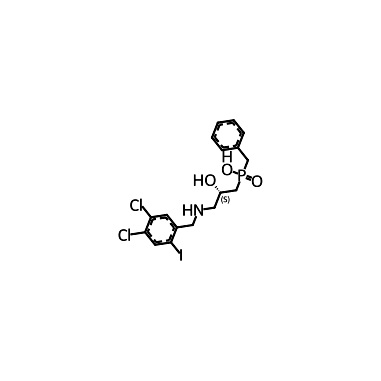 O=P(O)(Cc1ccccc1)C[C@@H](O)CNCc1cc(Cl)c(Cl)cc1I